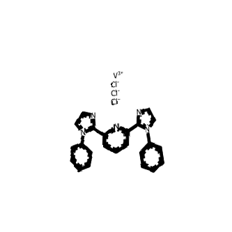 [Cl-].[Cl-].[Cl-].[V+3].c1ccc(-n2ccnc2-c2cccc(-c3nccn3-c3ccccc3)n2)cc1